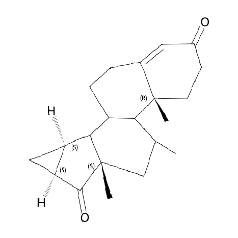 CC1C[C@]2(C)C(=O)[C@H]3C[C@H]3C2C2CCC3=CC(=O)CC[C@]3(C)C12